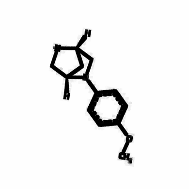 COc1ccc(N2C[C@@H]3C[C@H]2C[N]3)cc1